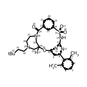 Cc1cccc(C)c1-c1cc2nc(n1)NS(=O)(=O)c1cccc(c1)C(=O)N1CCN(CCC(C)(C)C)C[C@H](C1)O2